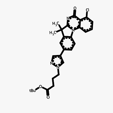 CC(C)(C)OC(=O)CCCn1cc(-c2ccc3c(c2)C(C)(C)c2nc(=O)c4c(Cl)cccc4n2-3)cn1